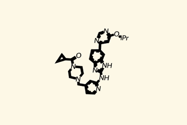 CC(C)Oc1cc(-c2ccc3nc(Nc4cc(CN5CCN(C(=O)C6CC6)CC5)ccn4)[nH]c3c2)ncn1